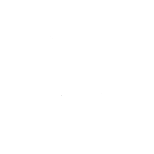 Cc1ccc(S(=O)(=O)n2cc(-c3cnn(Cc4cccc(C(F)(F)F)c4)c3)c3cc(-c4cccc(NS(C)(=O)=O)c4)cnc32)cc1